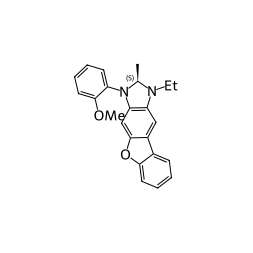 CCN1c2cc3c(cc2N(c2ccccc2OC)[C@H]1C)oc1ccccc13